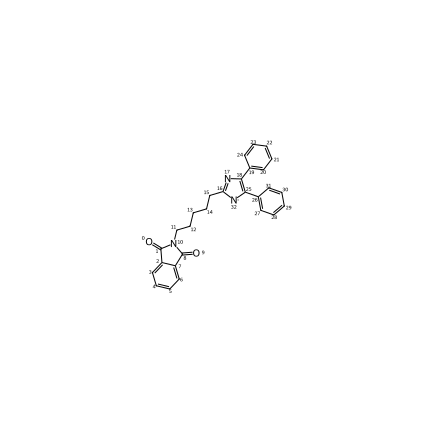 O=C1c2ccccc2C(=O)N1CCCCCC1=NC(c2ccccc2)=C(c2ccccc2)[N]1